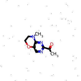 CC(=O)c1ncc2c(n1)N(C)CCO2